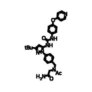 CC(=O)N(CC(N)=O)Cc1ccc(-n2nc(C(C)(C)C)cc2NC(=O)Nc2ccc(Oc3ccncc3)cc2)cc1